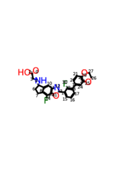 O=C(O)CN[C@@H]1CCc2c1cc1nc(-c3cccc(-c4ccc5c(c4)OCCO5)c3F)oc1c2F